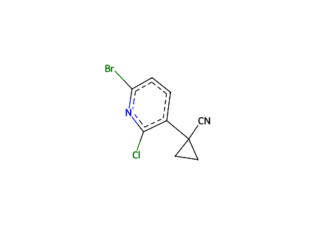 N#CC1(c2ccc(Br)nc2Cl)CC1